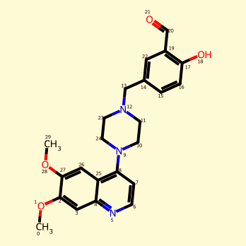 COc1cc2nccc(N3CCN(Cc4ccc(O)c(C=O)c4)CC3)c2cc1OC